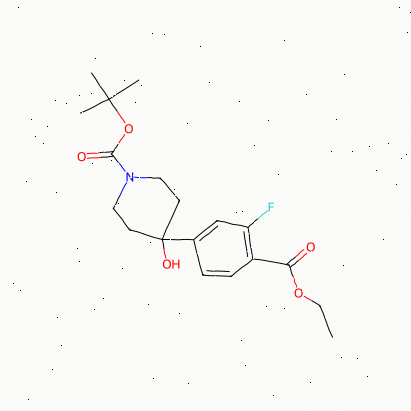 CCOC(=O)c1ccc(C2(O)CCN(C(=O)OC(C)(C)C)CC2)cc1F